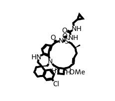 CO[C@H]1/C=C/C[C@H](C)C[S@@](=O)(NC(=O)NCC2CC2)=NC(=O)c2ccc3c(c2)N(C[C@@H]2CC[C@H]21)C[C@@]1(CCCc2cc(Cl)ccc21)CN3